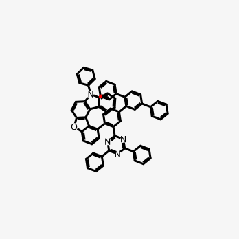 c1ccc(-c2ccc(-c3ccccc3)c(-c3ccc(-c4cccc5oc6ccc7c(c8ccccc8n7-c7ccccc7)c6c45)c(-c4nc(-c5ccccc5)nc(-c5ccccc5)n4)c3)c2)cc1